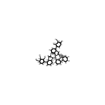 CCCCC1=Cc2c(-c3ccc(C)c(C)c3C)cccc2[CH]1[Zr]([c]1cccc2c1[SiH2]c1ccccc1-2)[CH]1C(CCCC)=Cc2c(-c3ccc(C)c(C)c3C)cccc21